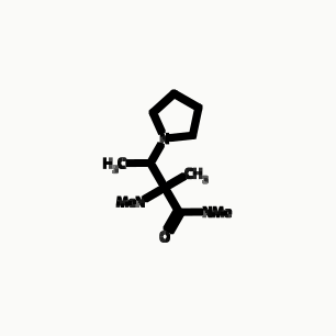 CNC(=O)C(C)(NC)C(C)N1CCCC1